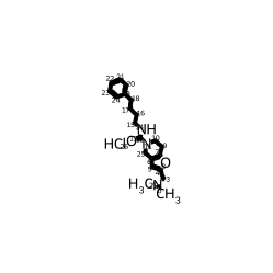 CN(C)Cc1cc2c(o1)CCN(C(=O)NCCCCc1ccccc1)C2.Cl